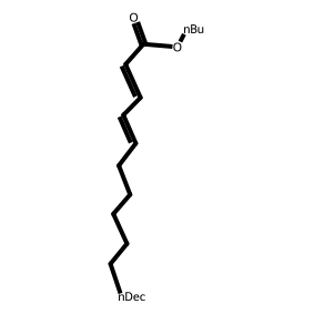 CCCCCCCCCCCCCCCC=CC=CC(=O)OCCCC